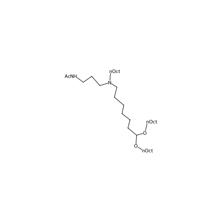 CCCCCCCCOC(CCCCCCN(CCCCCCCC)CCCNC(C)=O)OCCCCCCCC